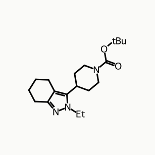 CCn1nc2c(c1C1CCN(C(=O)OC(C)(C)C)CC1)CCCC2